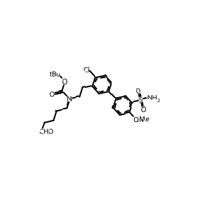 COc1ccc(-c2ccc(Cl)c(CCN(CCCCC=O)C(=O)OC(C)(C)C)c2)cc1S(N)(=O)=O